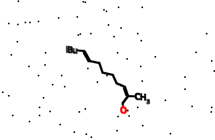 CCC(C)C=CCCCCC=C(C)C[O]